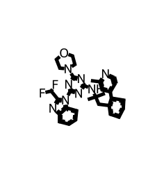 Cc1cc(-c2ccccc2CC(C)(C)Nc2nc(N3CCOCC3)nc(-n3c(C(F)F)nc4ccccc43)n2)c#cn1